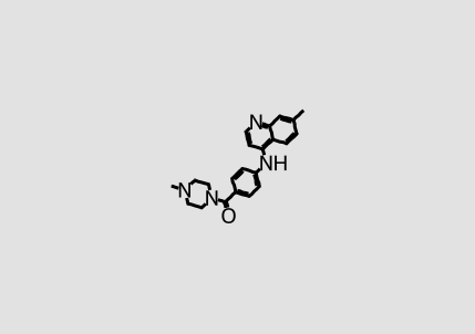 Cc1ccc2c(Nc3ccc(C(=O)N4CCN(C)CC4)cc3)ccnc2c1